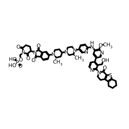 COc1ncc(-c2ccnc(N3CCc4c(sc5c4CCCC5)C3=O)c2CO)cc1Nc1ccc(N2CCN(C3CCN(c4ccc5c(c4)C(=O)N(C4CCC(=O)N(COP(=O)(O)O)C4=O)C5=O)[C@@H](C)C3)C[C@@H]2C)cn1